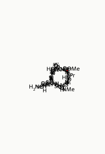 CNC(=O)C[C@@H]1NC(=O)c2csc(n2)-c2ccc(-c3nc(NC(=O)OCCN)cs3)nc2-c2csc(n2)-c2csc(n2)[C@H]([C@@H](O)c2ccccc2)NC(=O)CNC(=O)C2=C(COC)SC([C@H](C(C)C)NC(=O)c3nc1sc3C)N2C